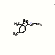 C/C=C/C(=O)C1=CCC(C)CC1(C)C